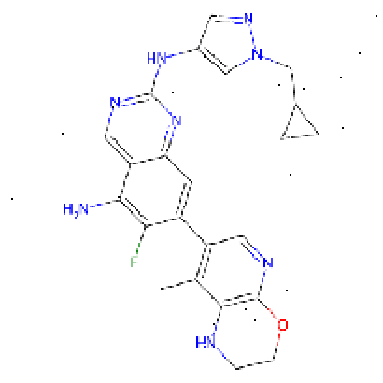 Cc1c(-c2cc3nc(Nc4cnn(CC5CC5)c4)ncc3c(N)c2F)cnc2c1NCCO2